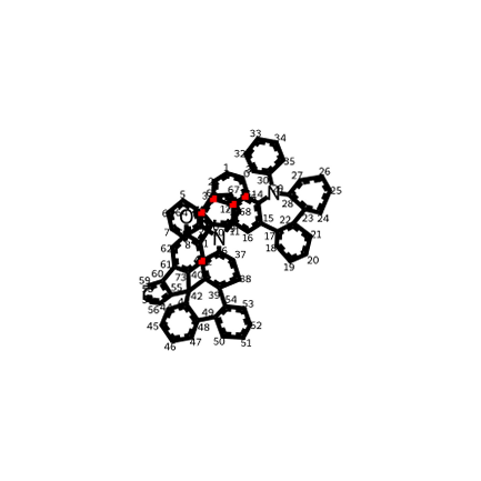 c1ccc(-c2ccccc2N(c2ccc3c(c2)-c2ccccc2-c2ccccc2N3c2ccccc2)c2ccc3c(c2)C2(c4ccccc4-c4ccccc4-3)c3ccccc3-c3cc4oc5ccccc5c4cc32)cc1